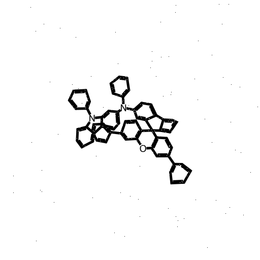 c1ccc(-c2ccc3c(c2)Oc2cc(-c4ccccc4)ccc2C32c3ccccc3-c3ccc(N(c4ccccc4)c4ccc5c6ccccc6n(-c6ccccc6)c5c4)cc32)cc1